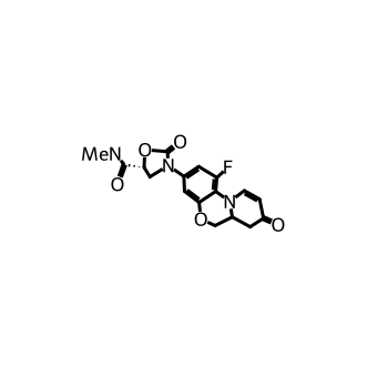 CNC(=O)[C@H]1CN(c2cc(F)c3c(c2)OCC2CC(=O)C=CN32)C(=O)O1